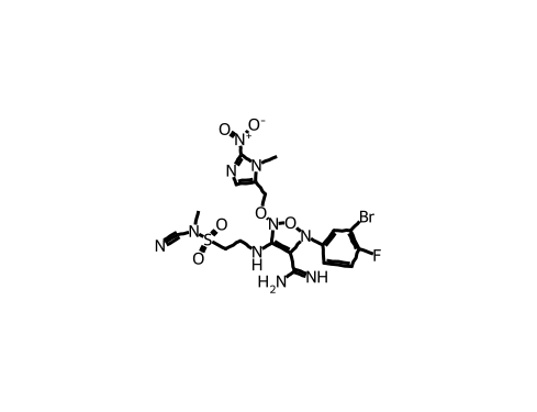 CN(C#N)S(=O)(=O)CCNC1=C(C(=N)N)N(c2ccc(F)c(Br)c2)ON1OCc1cnc([N+](=O)[O-])n1C